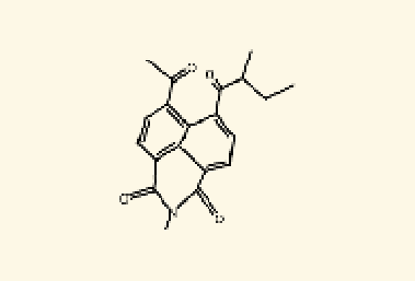 CCC(C)C(=O)c1ccc2c3c(ccc(C(C)=O)c13)C(=O)N(C)C2=O